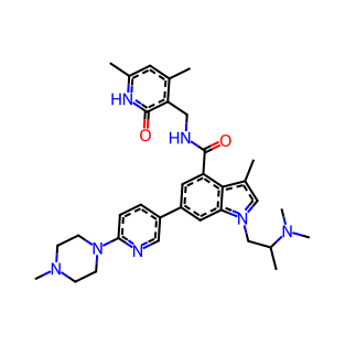 Cc1cc(C)c(CNC(=O)c2cc(-c3ccc(N4CCN(C)CC4)nc3)cc3c2c(C)cn3CC(C)N(C)C)c(=O)[nH]1